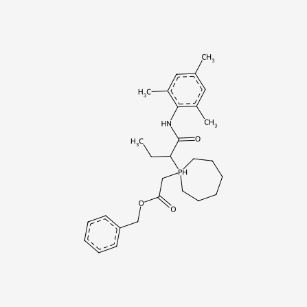 CCC(C(=O)Nc1c(C)cc(C)cc1C)[PH]1(CC(=O)OCc2ccccc2)CCCCCC1